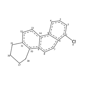 Clc1cccc2c1ccc1c3c(ccc12)CCCC3